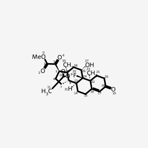 COC(=O)C(=O)[C@@]12CC[C@@]3(OC(C)O1)[C@@H]1CCC4=CC(=O)CC[C@]4(C)[C@@]1(F)[C@@H](O)C[C@]23C